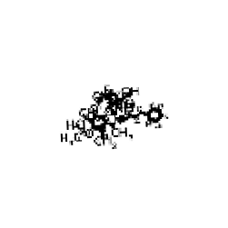 CCOc1cc(C(C)N(CCCCc2ccccc2)C(=O)NC2(C(=O)O)CC(F)(F)C2)c(CC)c(OCC)c1C(C)O